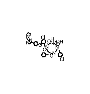 C[C@H]1C(=O)N[C@@H](CO)C(=O)N(C)[C@H](Cc2ccc(Cl)cc2)CN(C)C(=O)[C@H](Cc2ccccc2)CC(=O)N1Cc1ccc(Cl)cc1Oc1ccc(-c2cnc(CN3CCCC3)n2C)cc1